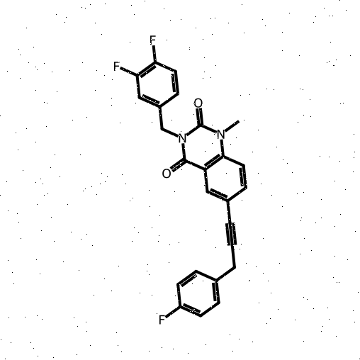 Cn1c(=O)n(Cc2ccc(F)c(F)c2)c(=O)c2cc(C#CCc3ccc(F)cc3)ccc21